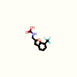 O=C(O)NCc1cc2cccc(C(F)(F)F)c2o1